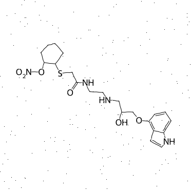 O=C(CSC1CCCCC1O[N+](=O)[O-])NCCNCC(O)COc1cccc2[nH]ccc12